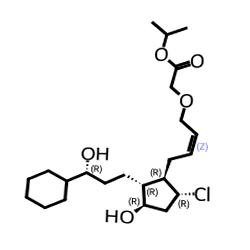 CC(C)OC(=O)COC/C=C\C[C@@H]1[C@@H](CC[C@@H](O)C2CCCCC2)[C@H](O)C[C@H]1Cl